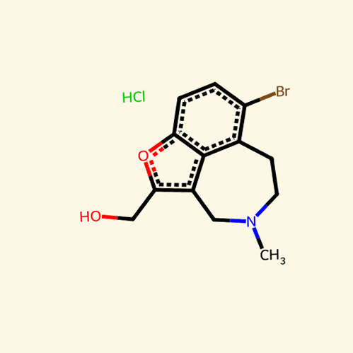 CN1CCc2c(Br)ccc3oc(CO)c(c23)C1.Cl